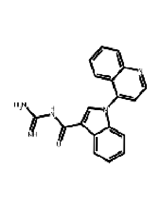 N=C(N)NC(=O)c1cn(-c2ccnc3ccccc23)c2ccccc12